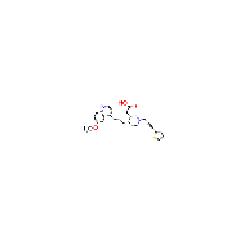 COc1ccc2nccc(CCC[C@@H]3CCN(CC#Cc4cccs4)C[C@@H]3CC(=O)O)c2c1